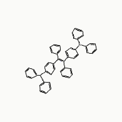 c1ccc(/C(=C(/c2ccccc2)c2ccc(N(c3ccccc3)c3ccccc3)cc2)c2ccc(C(c3ccccc3)c3ccccc3)cc2)cc1